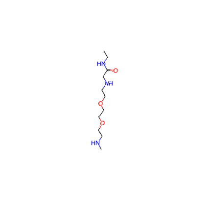 CCNC(=O)CNCCOCCOCCNC